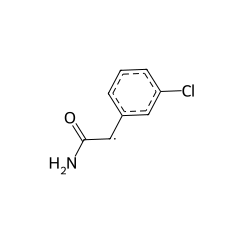 NC(=O)[CH]c1cccc(Cl)c1